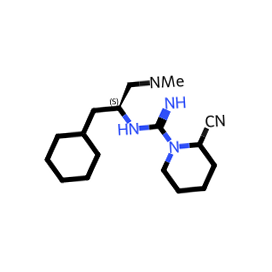 CNC[C@H](CC1CCCCC1)NC(=N)N1CCCCC1C#N